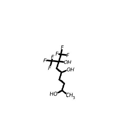 CC(O)CCC(O)CC(O)(C(F)(F)F)C(F)(F)F